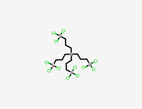 Cl[Si](Cl)(Cl)CCC[Si](CCC[Si](Cl)(Cl)Cl)(CCC[Si](Cl)(Cl)Cl)CCC[Si](Cl)(Cl)Cl